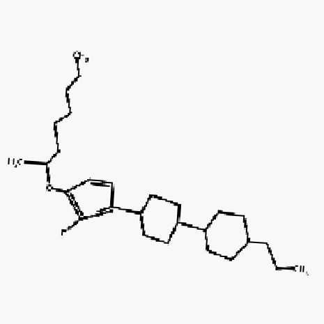 CCCCCCC(C)Oc1ccc(C2CCC(C3CCC(CCC)CC3)CC2)cc1F